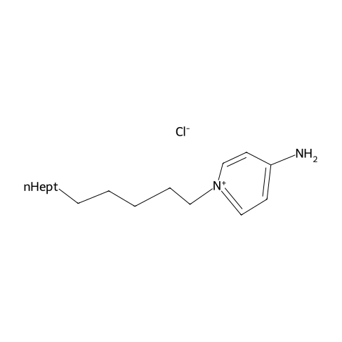 CCCCCCCCCCCC[n+]1ccc(N)cc1.[Cl-]